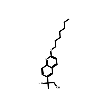 CCCCCCCOc1ccc2cc(C(C)(N)CO)ccc2n1